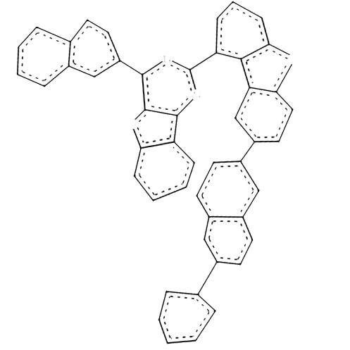 c1ccc(-c2ccc3cc(-c4ccc5oc6cccc(-c7nc(-c8ccc9ccccc9c8)c8sc9ccccc9c8n7)c6c5c4)ccc3c2)cc1